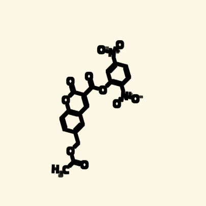 CC(=O)OCc1ccc2oc(=O)c(C(=O)Oc3cc([N+](=O)[O-])ccc3[N+](=O)[O-])cc2c1